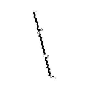 C=CCCCCCCCCC(=O)OCCCCCCCCCCCOC(=O)CCCCCCCCC=C